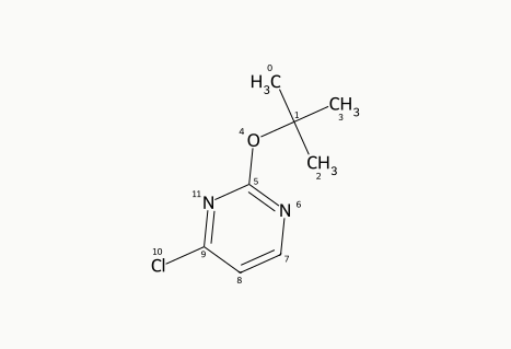 CC(C)(C)Oc1nccc(Cl)n1